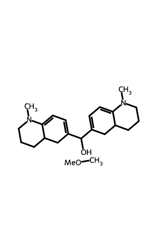 CN1CCCC2CC(C(O)C3=CC=C4C(CCCN4C)C3)=CC=C21.COC